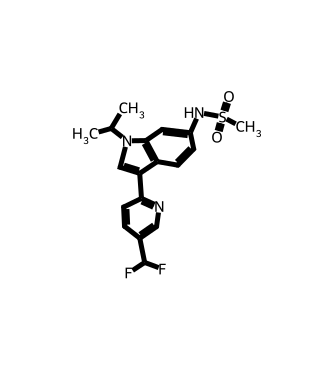 CC(C)n1cc(-c2ccc(C(F)F)cn2)c2ccc(NS(C)(=O)=O)cc21